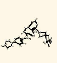 Cc1cc2cnc(Nc3ccc(N4CCN(C)CC4)cc3)nc2c(N2CC3(C2)CS(=O)(=O)C3)n1